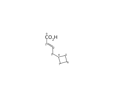 O=C(O)C=CCC1CCC1